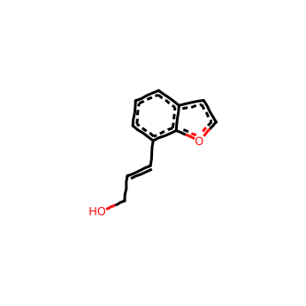 OCC=Cc1cccc2ccoc12